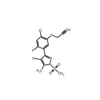 C#CCOc1cc(-c2nn(S(C)(=O)=O)c(C)c2Cl)c(F)cc1Cl